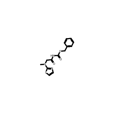 CN(CC(=O)NC(=O)OCc1ccccc1)c1nccs1